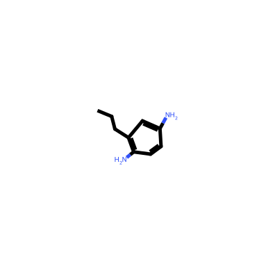 CCCc1cc(N)ccc1N